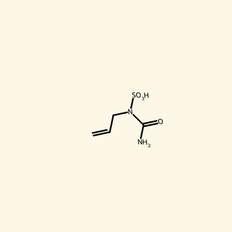 C=CCN(C(N)=O)S(=O)(=O)O